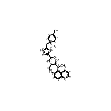 CN1C(=O)[C@@H](NC(=O)c2n[nH]c(CC3(C)C=CC(F)=CC3)n2)COc2ccc3ncccc3c21